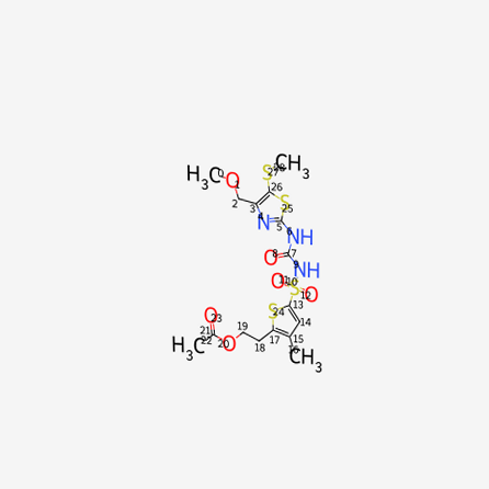 COCc1nc(NC(=O)NS(=O)(=O)c2cc(C)c(CCOC(C)=O)s2)sc1SC